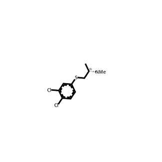 CN[C@@H](C)CSc1ccc(Cl)c(Cl)c1